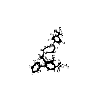 CS(=O)(=O)c1ccc(-c2ccccc2)c(C(=O)N2CCN(c3ccc(C(F)(F)F)cc3)CC2)c1F